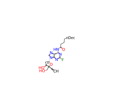 C#C[C@]1(CO)O[C@@H](n2cnc3c(NC(=O)CCCCCCCCCCCCC)nc(F)nc32)C[C@@H]1O